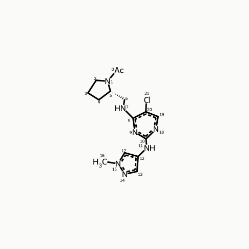 CC(=O)N1CCC[C@H]1CNc1nc(Nc2cnn(C)c2)ncc1Cl